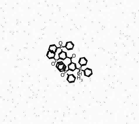 C[PH](c1ccccc1)(c1ccccc1)c1cc(C(=O)c2cc(P(=O)(c3ccccc3)c3ccccc3)cc(P(=O)(c3ccccc3)c3ccccc3)c2)cc(P(=O)(c2ccccc2)c2ccccc2)c1